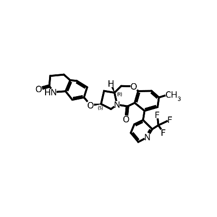 Cc1cc2c(c(-c3cccnc3C(F)(F)F)c1)C(=O)N1C[C@@H](Oc3ccc4c(c3)NC(=O)CC4)C[C@@H]1CO2